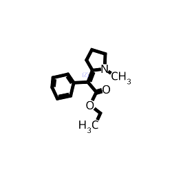 CCOC(=O)/C(=C1/CCCN1C)c1ccccc1